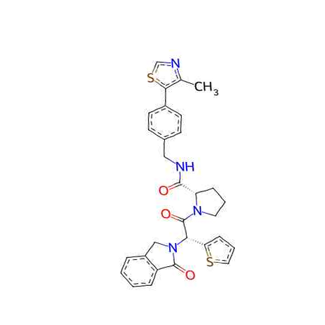 Cc1ncsc1-c1ccc(CNC(=O)[C@@H]2CCCN2C(=O)[C@H](c2cccs2)N2Cc3ccccc3C2=O)cc1